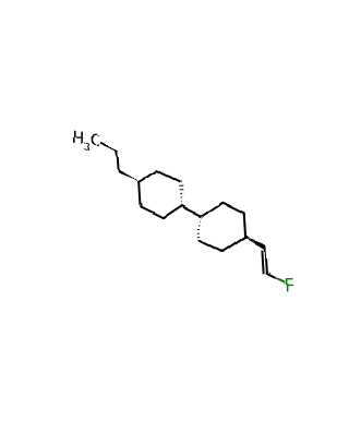 CCC[C@H]1CC[C@H]([C@H]2CC[C@H](C=CF)CC2)CC1